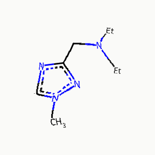 CCN(CC)Cc1n[c]n(C)n1